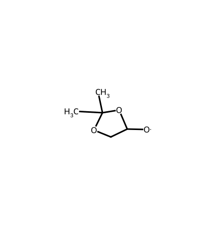 CC1(C)OCC([O])O1